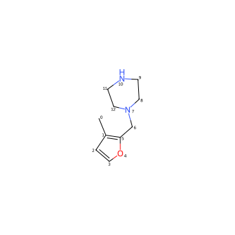 Cc1ccoc1CN1CCNCC1